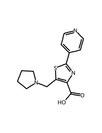 O=C(O)c1nc(-c2ccncc2)sc1CN1CCCC1